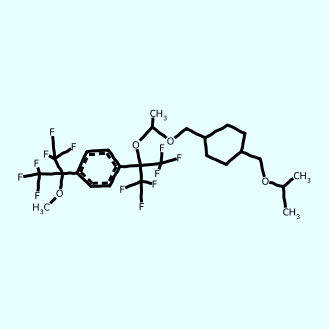 COC(c1ccc(C(OC(C)OCC2CCC(COC(C)C)CC2)(C(F)(F)F)C(F)(F)F)cc1)(C(F)(F)F)C(F)(F)F